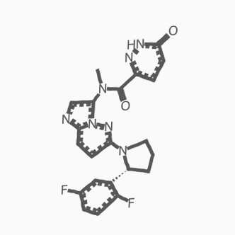 CN(C(=O)c1ccc(=O)[nH]n1)c1cnc2ccc(N3CCC[C@@H]3c3cc(F)ccc3F)nn12